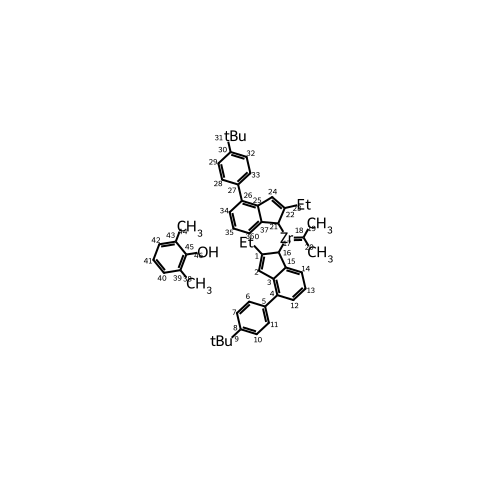 CCC1=Cc2c(-c3ccc(C(C)(C)C)cc3)cccc2[CH]1[Zr](=[C](C)C)[CH]1C(CC)=Cc2c(-c3ccc(C(C)(C)C)cc3)cccc21.Cc1cccc(C)c1O